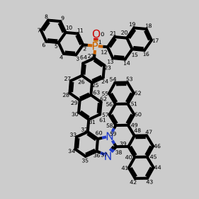 O=P(c1ccc2ccccc2c1)(c1ccc2ccccc2c1)c1ccc2c(ccc3cc(-c4cccc5nc6c7c8ccccc8ccc7c7cc8ccccc8cc7n6c45)ccc32)c1